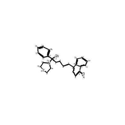 OC(CCCCc1ccc(Cl)c2ccccc12)(c1ccccc1)N1CCCCC1